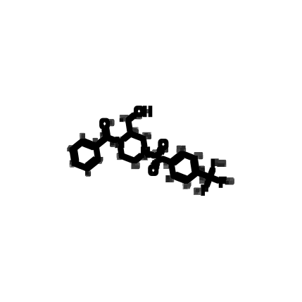 O=C(c1ccccc1)N1CCN(S(=O)(=O)c2ccc(C(F)(F)F)cc2)CC1CO